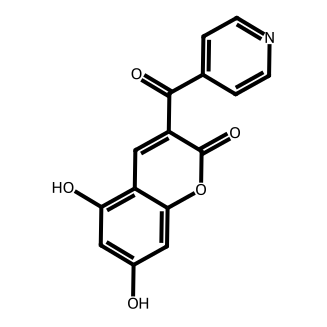 O=C(c1ccncc1)c1cc2c(O)cc(O)cc2oc1=O